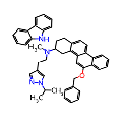 CC(C)n1cc(CCN(C)C2CCc3ccc4c(cc(OCc5ccccc5)c5ccccc54)c3C2)cn1.c1ccc2c(c1)[nH]c1ccccc12